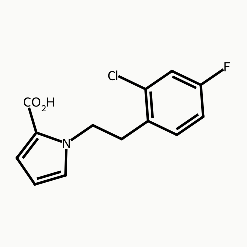 O=C(O)c1cccn1CCc1ccc(F)cc1Cl